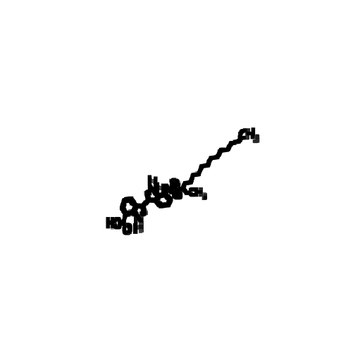 CCCCCCCCCCCCCC(CC)S(=O)(=O)Nc1cccc2c(-c3c[nH]c4c(C(=O)O)cccc34)c[nH]c12